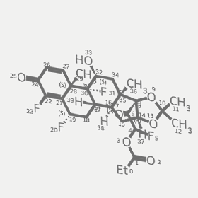 CCC(=O)OC(F)C(=O)[C@@]12OC(C)(C)O[C@@H]1C[C@H]1[C@@H]3C[C@H](F)C4=C(F)C(=O)C=C[C@]4(C)[C@@]3(F)[C@@H](O)C[C@@]12C